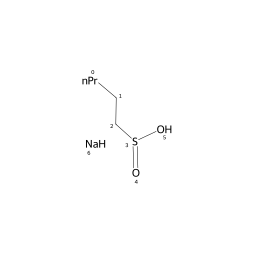 CCCCCS(=O)O.[NaH]